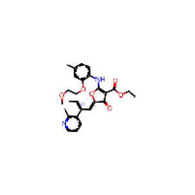 C/C=C(/C=C1\OC(Nc2ccc(C)cc2OCCOC)=C(C(=O)OCC)C1=O)c1cccnc1C